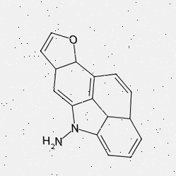 NN1C2=CC3C=COC3C3=C2C2C1=CC=CC2C=C3